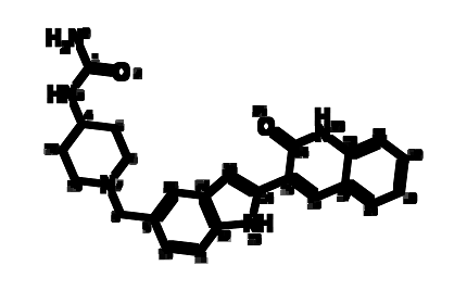 NC(=O)NC1CCN(Cc2ccc3[nH]c(-c4cc5ccccc5[nH]c4=O)cc3c2)CC1